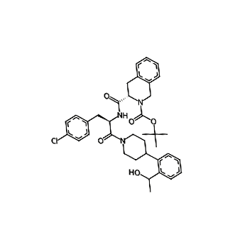 CC(O)c1ccccc1C1CCN(C(=O)[C@@H](Cc2ccc(Cl)cc2)NC(=O)[C@@H]2Cc3ccccc3CN2C(=O)OC(C)(C)C)CC1